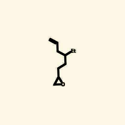 C=CCC(CC)CCC1CO1